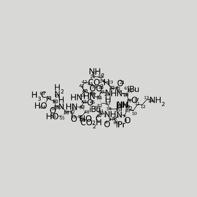 CC[C@H](C)[C@H](NC(=O)[C@@H](NC(=O)[C@H](CCCCN)NC(=O)[C@@H](NC(=O)[C@H](CCCCN)NC(=O)[C@H](CCCCN)NC(=O)[C@H](CCC(=O)O)NC(=O)[C@H](CCC(=O)O)NC(=O)[C@H](CO)NC(=O)[C@@H](N)[C@@H](C)O)[C@@H](C)CC)C(C)C)C(=O)O